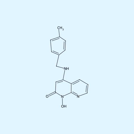 Cc1ccc(CNc2cc(=O)n(O)c3ncccc23)cc1